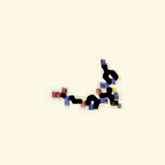 Cc1nsc(Nc2cc(C#N)ccn2)c1C(=O)Nc1ccc(OCCCNC(=O)O)nc1